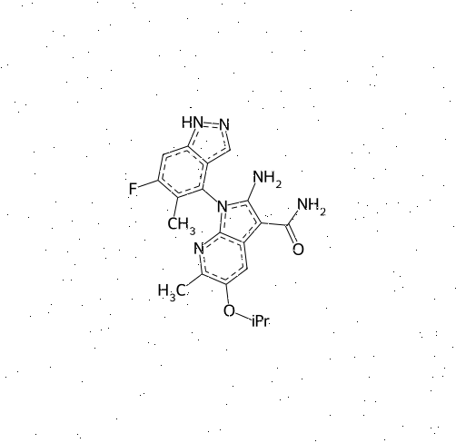 Cc1nc2c(cc1OC(C)C)c(C(N)=O)c(N)n2-c1c(C)c(F)cc2[nH]ncc12